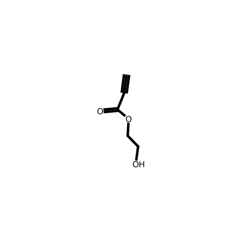 C#CC(=O)OCCO